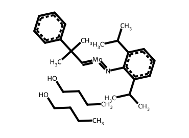 CC(C)c1cccc(C(C)C)c1[N]=[Mo]=[CH]C(C)(C)c1ccccc1.CCCCO.CCCCO